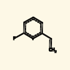 C=Cc1[c]c(F)ccc1